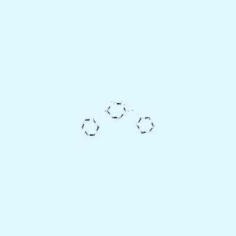 c1ccc(Oc2ccc(Oc3ccccc3)nn2)cc1